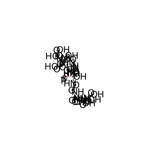 CC(C)(C)S(F)(c1ccc(C(=O)NC[C@@H](C(=O)N[C@H](CCCCNC(=O)CCC(=O)NCCC[C@@H](NC(=O)CC[C@H](NC(=O)N[C@@H](CCC(=O)O)C(=O)O)C(=O)O)C(=O)O)C(=O)O)n2cc(CNC(=O)CCP(=O)(O)CN3CCN(CP(=O)(O)CCC(=O)O)CCN(CP(=O)(O)CCC(=O)O)CC3)nn2)cc1)C(C)(C)C